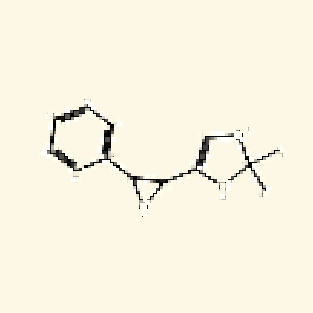 CC1(C)OC=C(C2OC2c2ccccc2)O1